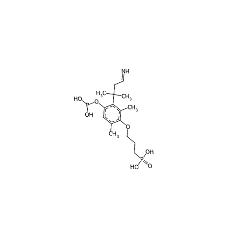 Cc1cc(OP(O)O)c(C(C)(C)CC=N)c(C)c1OCCCP(=O)(O)O